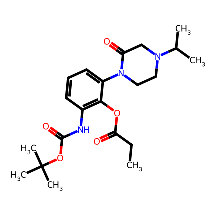 CCC(=O)Oc1c(NC(=O)OC(C)(C)C)cccc1N1CCN(C(C)C)CC1=O